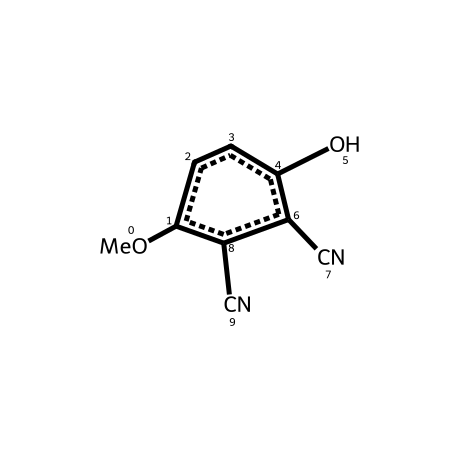 COc1ccc(O)c(C#N)c1C#N